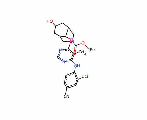 Cc1c(Nc2ccc(C#N)cc2Cl)ncnc1OC1C2CC(O)CC1CN(C(=O)OC(C)(C)C)C2